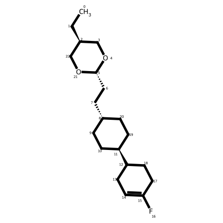 CC[C@H]1CO[C@H](CC[C@H]2CC[C@H](C3CC=C(F)CC3)CC2)OC1